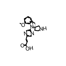 COc1cccc(C[C@@]2(Nc3cnc(/C=C/C(=O)O)cn3)CCNC2)c1